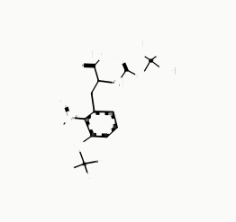 CC(C)(C)OC(=O)NC(Cc1cccc(OC(F)(F)F)c1[N+](=O)[O-])C(=O)O